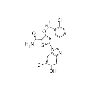 C[C@@H](Oc1cc(-n2cnc3c2C=C(Cl)C(O)C3)sc1C(N)=O)c1ccccc1Cl